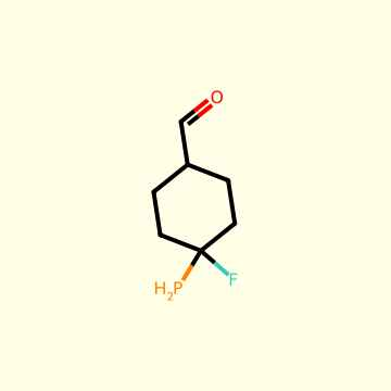 O=CC1CCC(F)(P)CC1